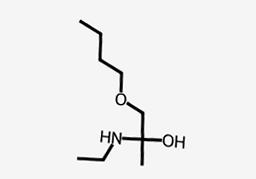 CCCCOCC(C)(O)NCC